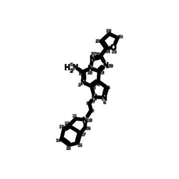 Nc1nc2c(cnn2CCN2Cc3ccccc3C2)c2nc(C3=CCCO3)nn12